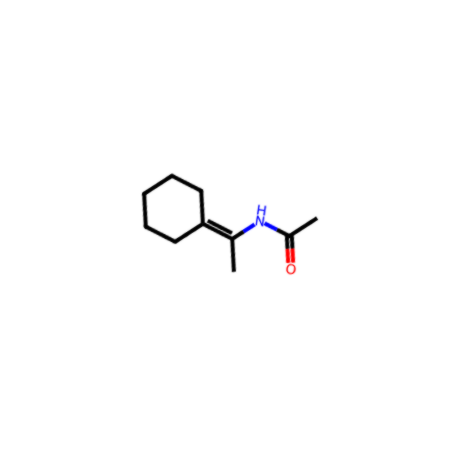 CC(=O)NC(C)=C1CCCCC1